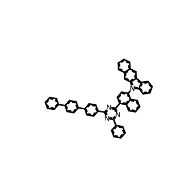 c1ccc(-c2ccc(-c3ccc(-c4nc(-c5ccccc5)nc(-c5ccc(-n6c7ccccc7c7cc8ccccc8cc76)c6ccccc56)n4)cc3)cc2)cc1